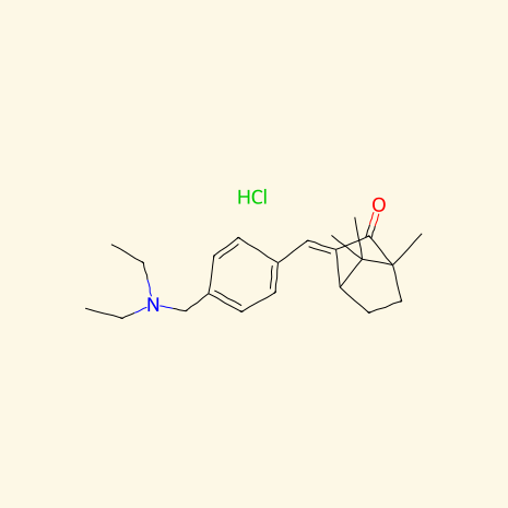 CCN(CC)Cc1ccc(/C=C2/C(=O)C3(C)CCC2C3(C)C)cc1.Cl